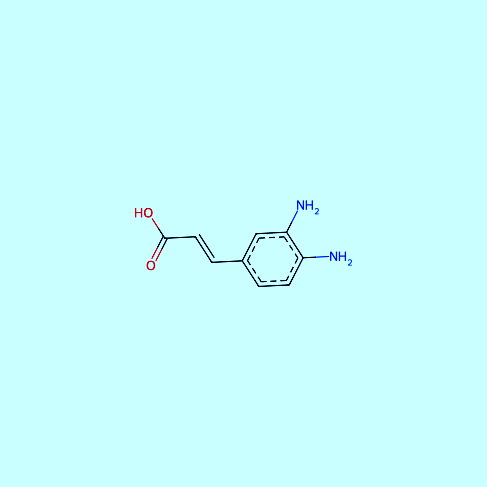 Nc1ccc(/C=C/C(=O)O)cc1N